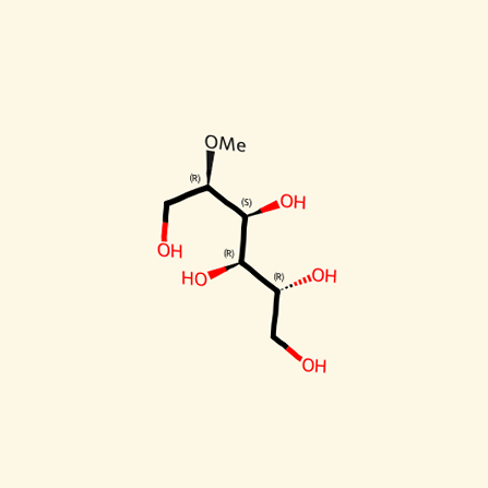 CO[C@H](CO)[C@@H](O)[C@H](O)[C@H](O)CO